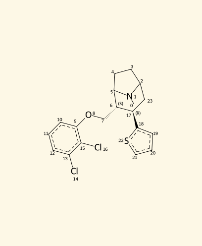 CN1C2CCC1[C@@H](COc1cccc(Cl)c1Cl)[C@H](c1cccs1)C2